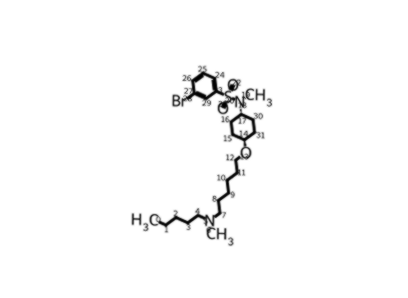 CCCCCN(C)CCCCCCO[C@H]1CC[C@H](N(C)S(=O)(=O)c2cccc(Br)c2)CC1